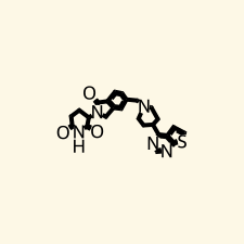 O=C1CCC(N2Cc3cc(CN4CCC(c5ncnc6sccc56)CC4)ccc3C2=O)C(=O)N1